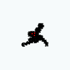 CCCCCCc1ccc2c(c1)c1ccc3c4cc(CCCCCC)ccc4n(-c4nc(-c5ccccc5)nc(-c5ccc(-c6ccccc6)cc5)n4)c3c1n2-c1ccccc1